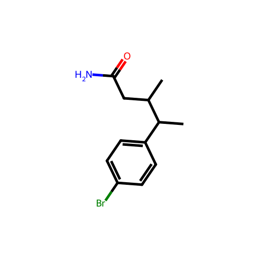 CC(CC(N)=O)C(C)c1ccc(Br)cc1